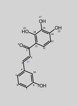 O=C(/C=C/c1cccc(O)c1)c1ccc(O)c(O)c1O